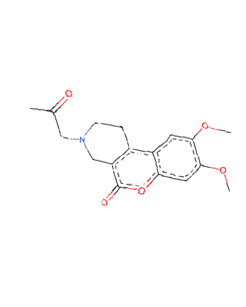 COc1cc2oc(=O)c3c(c2cc1OC)CCN(CC(C)=O)C3